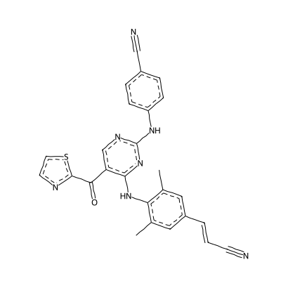 Cc1cc(/C=C/C#N)cc(C)c1Nc1nc(Nc2ccc(C#N)cc2)ncc1C(=O)c1nccs1